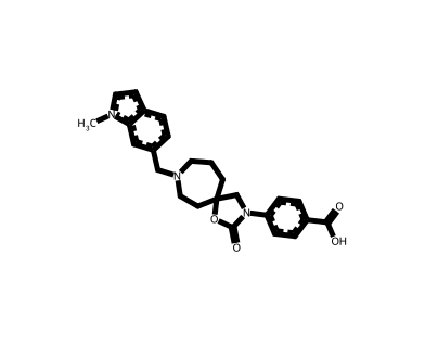 Cn1ccc2ccc(CN3CCCC4(CC3)CN(c3ccc(C(=O)O)cc3)C(=O)O4)cc21